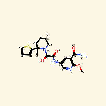 COc1ncc(NC(=O)C(=O)N2C[C@@H](C)CC[C@@]2(C)c2cccs2)cc1C(N)=O